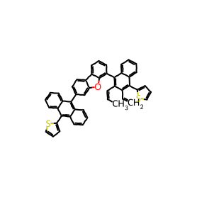 C=Cc1c(/C=C\C)c(-c2cccc3c2oc2cc(-c4c5ccccc5c(-c5cccs5)c5ccccc45)ccc23)c2ccccc2c1-c1cccs1